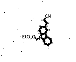 CCOC(=O)Cn1c2ccccc2c2cc(/C=C/C#N)ccc21